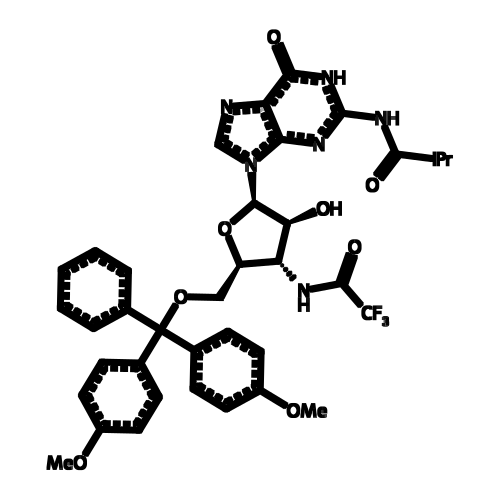 COc1ccc(C(OC[C@H]2O[C@@H](n3cnc4c(=O)[nH]c(NC(=O)C(C)C)nc43)[C@@H](O)[C@@H]2NC(=O)C(F)(F)F)(c2ccccc2)c2ccc(OC)cc2)cc1